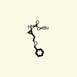 CC(C)(C)OC(=O)NC1[CH]C1CCOCc1ccccc1